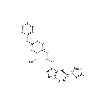 OCC1CN(Cc2ccccc2)CCN1CCCc1c[nH]c2ccc(-n3cnnc3)cc12